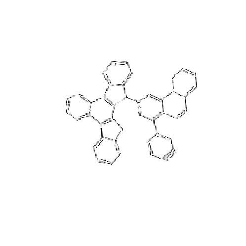 c1ccc(-c2cc(C3c4ccccc4-c4c3c3sc5ccccc5c3c3ccccc43)cc3c2ccc2ccccc23)cc#1